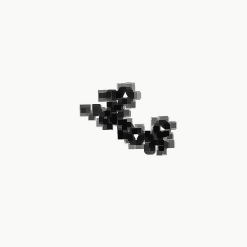 Bc1cnn2c(NCc3cccc(NC(=O)C4(c5ccccc5)CC4)c3)cc(-c3ccccc3O)nc12